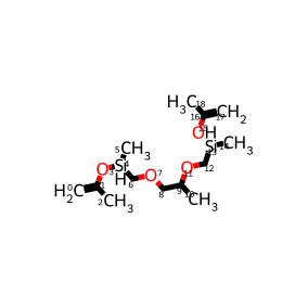 C=C(C)O[SiH](C)COCC(C)OC[SiH](C)OC(=C)C